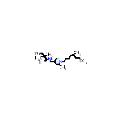 C=C(CC(CF)CNC(=C)C(C)(C)CC(C)(C)C)NCCCCC(C)CCC(Cl)(Cl)Cl